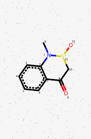 CN1c2ccccc2C(=O)C[S+]1[O-]